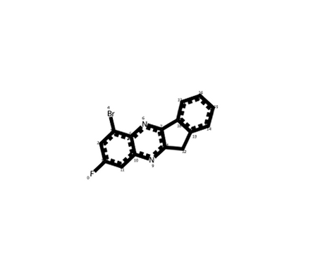 Fc1cc(Br)c2nc3c(nc2c1)Cc1ccccc1-3